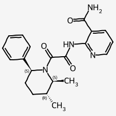 C[C@@H]1CC[C@@H](c2ccccc2)N(C(=O)C(=O)Nc2ncccc2C(N)=O)[C@H]1C